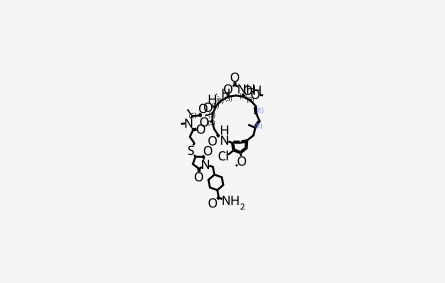 COc1cc2cc(c1Cl)NC(=O)C[C@H](OC(=O)[C@H](C)N(C)C(=O)CCSC1CC(=O)N(CC3CCC(C(N)=O)CC3)C1=O)[C@]1(C)O[C@H]1[C@H](C)[C@@H]1C[C@@](O)(NC(=O)O1)[C@H](OC)/C=C/C=C(\C)C2